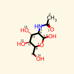 CC(=O)NC1C(O)OC(CO)[C@@H](O)[C@@H]1O